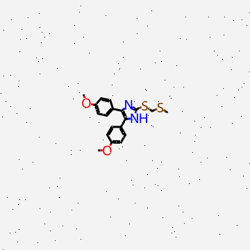 COc1ccc(-c2nc(SCSC)[nH]c2-c2ccc(OC)cc2)cc1